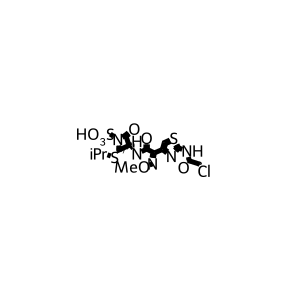 CON=C(C(=O)N[C@@H]1C(=O)N(S(=O)(=O)O)[C@H]1SC(C)C)c1csc(NC(=O)CCl)n1